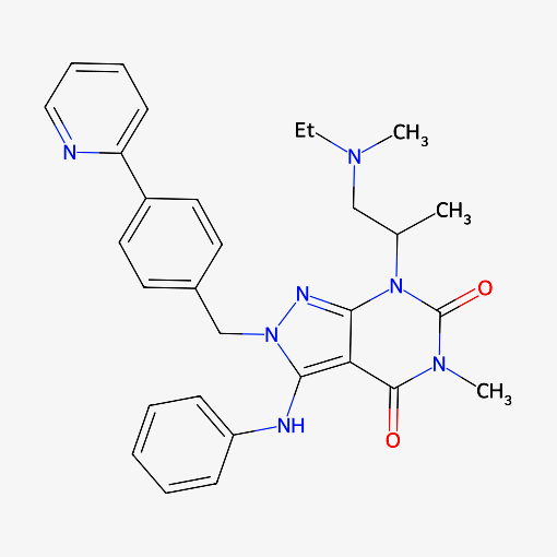 CCN(C)CC(C)n1c(=O)n(C)c(=O)c2c(Nc3ccccc3)n(Cc3ccc(-c4ccccn4)cc3)nc21